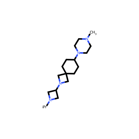 CC(C)N1CC(N2CC3(CCC(N4CCN(C)CC4)CC3)C2)C1